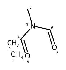 C.C.CN(C=O)C=O